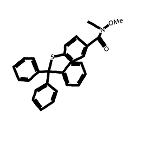 CON(C)C(=O)c1ccc(SC(c2ccccc2)(c2ccccc2)c2ccccc2)cc1